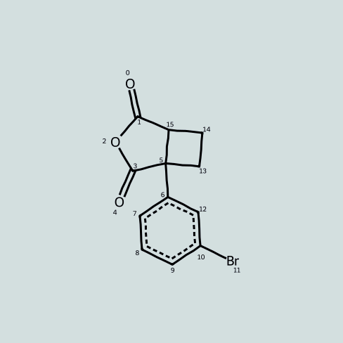 O=C1OC(=O)C2(c3cccc(Br)c3)CCC12